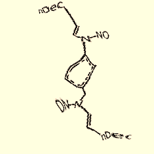 CCCCCCCCCCC=CN(N=O)c1ccc(N(C=CCCCCCCCCCC)N=O)cc1